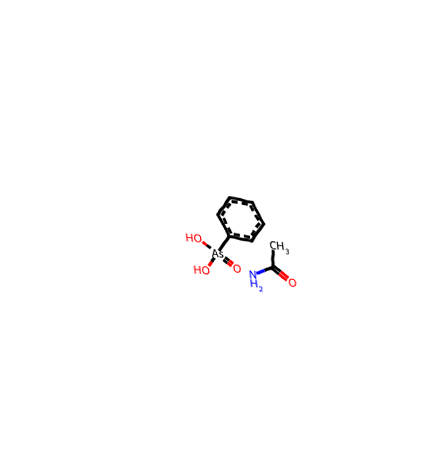 CC(N)=O.O=[As](O)(O)c1ccccc1